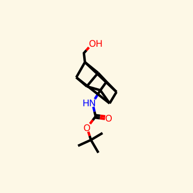 CC(C)(C)OC(=O)NC12C3C4C1C1C2C3C41CO